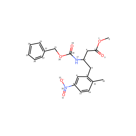 COC(=O)CC(Cc1cc([N+](=O)[O-])ccc1C)NC(=O)OCc1ccccc1